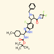 CC1CCC([C@H](NC(=O)OC(C)(C)C)c2nc3c(F)c(C4CN(Cc5ccccc5)CC4C(=O)N4CC(F)(F)C4)ccc3[nH]2)CC1